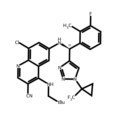 Cc1c(F)cccc1[C@H](Nc1cc(Cl)c2ncc(C#N)c(NCC(C)(C)C)c2c1)c1cn(C2(C(F)(F)F)CC2)nn1